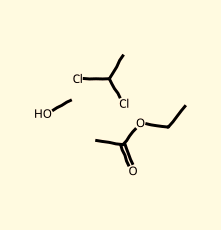 CC(Cl)Cl.CCOC(C)=O.CO